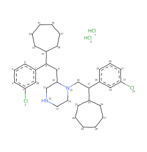 Cl.Cl.Clc1cccc(C(CC2CNCCN2CC(c2cccc(Cl)c2)C2CCCCCC2)C2CCCCCC2)c1